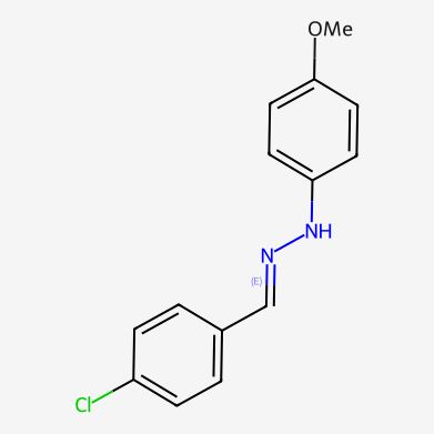 COc1ccc(N/N=C/c2ccc(Cl)cc2)cc1